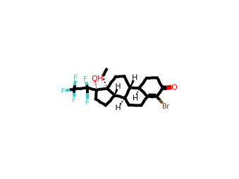 CC[C@]12CC[C@H]3[C@@H](CCC4=C(Br)C(=O)CC[C@@H]43)[C@@H]1CC[C@@]2(O)C(F)(F)C(F)(F)F